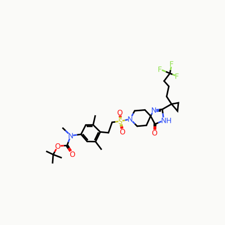 Cc1cc(N(C)C(=O)OC(C)(C)C)cc(C)c1CCS(=O)(=O)N1CCC2(CC1)N=C(C1(CCCC(F)(F)F)CC1)NC2=O